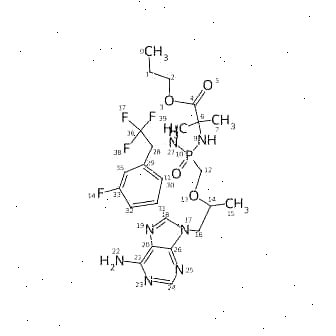 CCCOC(=O)C(C)(C)NP(=O)(COC(C)Cn1cnc2c(N)ncnc21)N[C@H](c1cccc(F)c1)C(F)(F)F